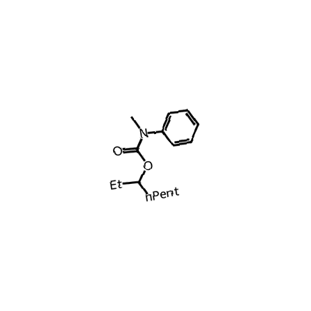 CCCCCC(CC)OC(=O)N(C)c1ccccc1